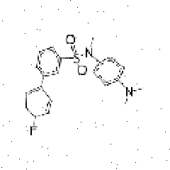 CN(C)c1ccc(N(C)S(=O)(=O)c2cccc(C3=CCC(F)C=C3)c2)cc1